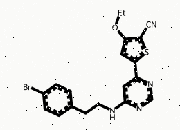 CCOc1cc(-c2cc(NCCc3ccc(Br)cc3)ncn2)sc1C#N